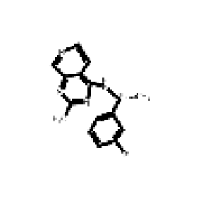 Cc1nc(N[C@H](C)c2cccc(F)c2)c2ccncc2n1